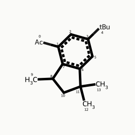 CC(=O)c1cc(C(C)(C)C)cc2c1C(C)CC2(C)C